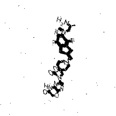 C[C@H](N)Cn1cnc2c(F)c3c(c(F)c21)CC(CN1CCC2(CC1)CN(c1cnc4c(n1)NC(=O)CO4)C(=O)O2)C3